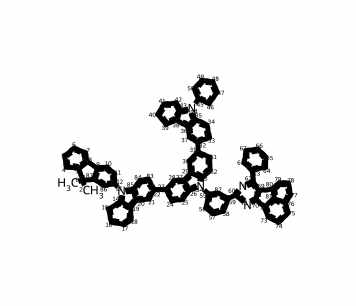 CC1(C)c2ccccc2-c2ccc(-n3c4ccccc4c4cc(-c5ccc6c(c5)c5cc(-c7ccc8c(c7)c7ccccc7n8-c7ccccc7)ccc5n6-c5cccc(-c6nc(-c7ccccc7)c7c(n6)-c6cccc8cccc-7c68)c5)ccc43)cc21